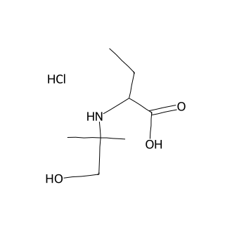 CCC(NC(C)(C)CO)C(=O)O.Cl